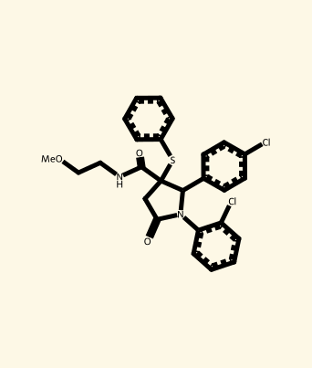 COCCNC(=O)C1(Sc2ccccc2)CC(=O)N(c2ccccc2Cl)C1c1ccc(Cl)cc1